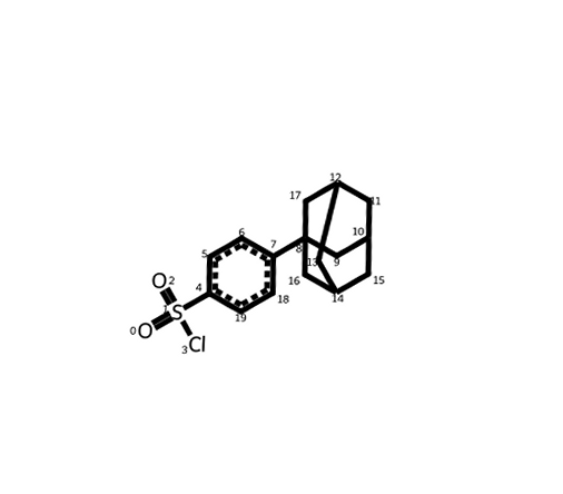 O=S(=O)(Cl)c1ccc(C23CC4CC(CC(C4)C2)C3)cc1